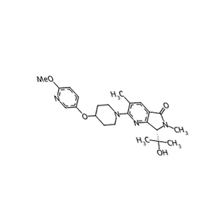 COc1ccc(OC2CCN(c3nc4c(cc3C)C(=O)N(C)[C@@H]4C(C)(C)O)CC2)cn1